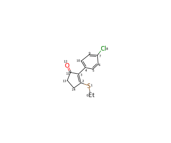 CCSC1=C(c2ccc(Cl)cc2)C(=O)CC1